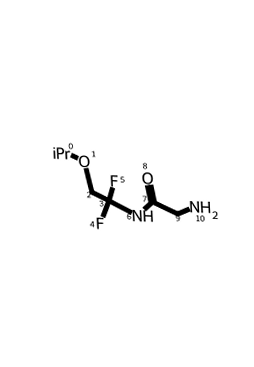 CC(C)OCC(F)(F)NC(=O)CN